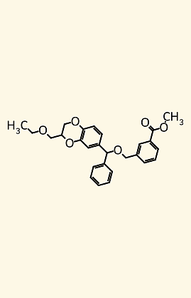 CCOCC1COc2ccc(C(OCc3cccc(C(=O)OC)c3)c3ccccc3)cc2O1